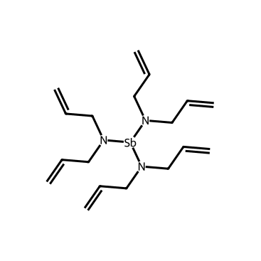 C=CC[N](CC=C)[Sb]([N](CC=C)CC=C)[N](CC=C)CC=C